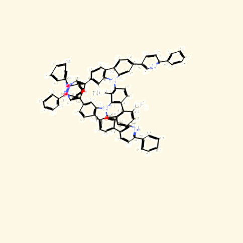 N#Cc1c(-n2c3cc(-c4ccc(-c5ccccc5)nc4)ccc3c3ccc(-c4ccc(-c5ccccc5)nc4)cc32)ccc(-c2c(C(F)(F)F)cccc2C(F)(F)F)c1-n1c2cc(-c3ccc(-c4ccccc4)nc3)ccc2c2ccc(-c3ccc(-c4ccccc4)nc3)cc21